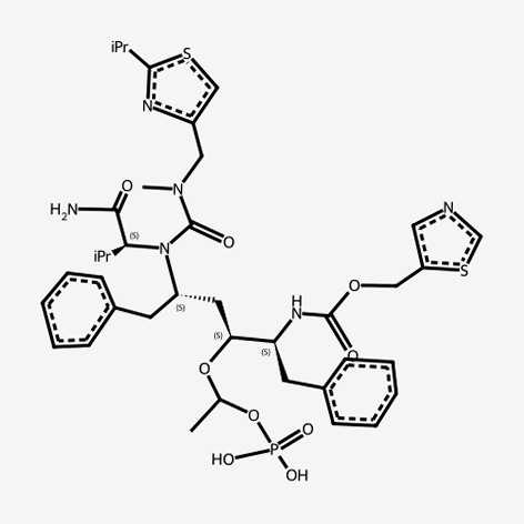 CC(O[C@@H](C[C@H](Cc1ccccc1)N(C(=O)N(C)Cc1csc(C(C)C)n1)[C@H](C(N)=O)C(C)C)[C@H](Cc1ccccc1)NC(=O)OCc1cncs1)OP(=O)(O)O